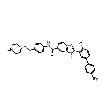 CC(C)c1ccc(-c2ccc(O)c(-c3nc4ccc(C(=O)Nc5ccc(CCN6CCN(C)CC6)cc5)cc4[nH]3)c2)cc1